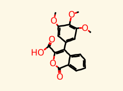 COc1cc(-c2c(C(=O)O)oc(=O)c3ccccc23)cc(OC)c1OC